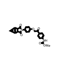 COC(=O)Nc1ccc(C(=O)COc2ccc(N3C(=O)C4C5C=CC(C6CC56)C4C3=O)cc2)cc1